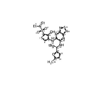 CCN(CC)S(=O)(=O)c1scc(Nc2nc3nsnc3nc2N[C@@H](c2ccc(C)o2)C(C)(C)C)c1O